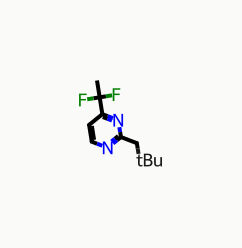 CC(C)(C)Cc1nccc(C(C)(F)F)n1